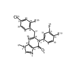 Cn1cnc2c(=O)n(-c3ccc(F)c(F)c3)c(Cc3ccc(Cl)cc3F)nc21